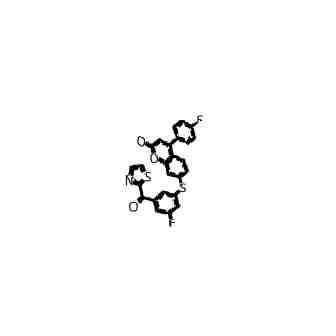 O=C(c1cc(F)cc(Sc2ccc3c(-c4ccc(F)cc4)cc(=O)oc3c2)c1)c1nccs1